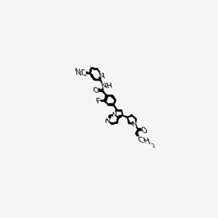 C=CC(=O)N1CCC(c2cc(-c3ccc(C(=O)NC4=NCCC(C#N)=C4)c(F)c3)n3cnccc23)C1